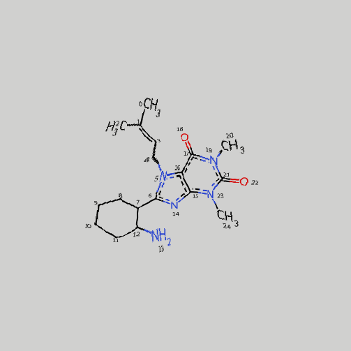 CC(C)=CCn1c(C2CCCCC2N)nc2c1c(=O)n(C)c(=O)n2C